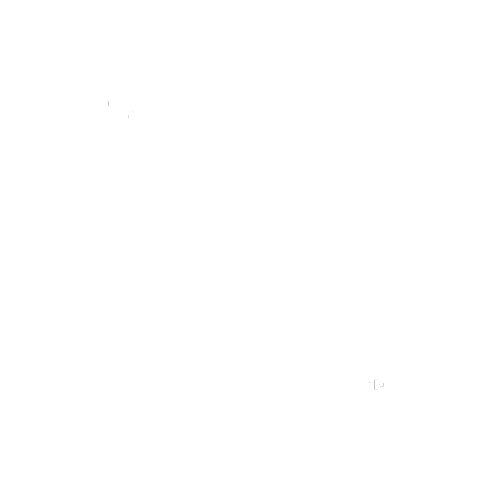 CCOCCCCCCCCCc1ccc(C#CC(C)(C)C)cc1